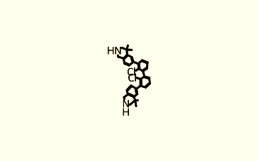 CC1(C)CNCc2ccc(-c3cccc(-c4cccc(-c5ccc6c(c5)C(C)(C)CNC6)c4Cl)c3Cl)cc21